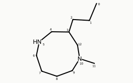 CCCC1CNCCCCN(C)C1